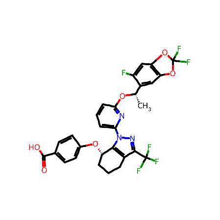 C[C@H](Oc1cccc(-n2nc(C(F)(F)F)c3c2[C@@H](Oc2ccc(C(=O)O)cc2)CCC3)n1)c1cc2c(cc1F)OC(F)(F)O2